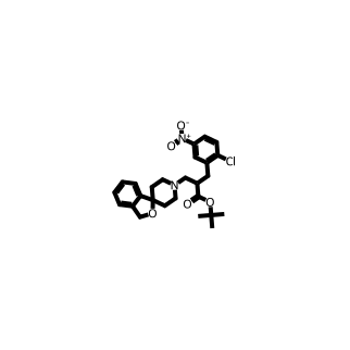 CC(C)(C)OC(=O)C(Cc1cc([N+](=O)[O-])ccc1Cl)CN1CCC2(CC1)OCc1ccccc12